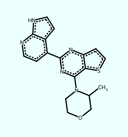 CC1COCCN1c1nc(-c2ccnc3[nH]ccc23)nc2ccsc12